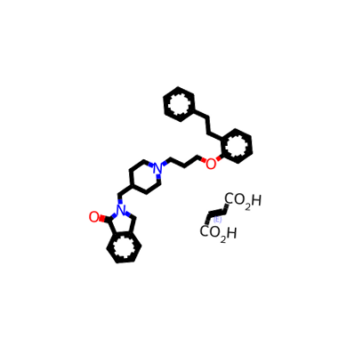 O=C(O)/C=C/C(=O)O.O=C1c2ccccc2CN1CC1CCN(CCCOc2ccccc2CCc2ccccc2)CC1